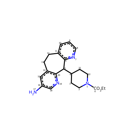 CCOC(=O)N1CCC(C2c3ncccc3CCc3cc(N)cnc32)CC1